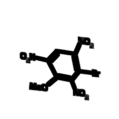 COc1c([N+](=O)[O-])cc([N+](=O)[O-])c(Br)c1[N+](=O)[O-]